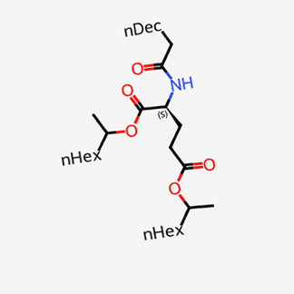 CCCCCCCCCCCC(=O)N[C@@H](CCC(=O)OC(C)CCCCCC)C(=O)OC(C)CCCCCC